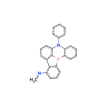 C=Nc1cccc2c1-c1cccc3c1B2c1ccccc1N3c1ccccc1